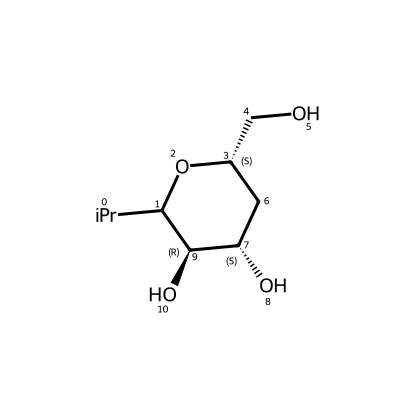 CC(C)C1O[C@H](CO)C[C@H](O)[C@H]1O